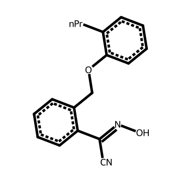 CCCc1ccccc1OCc1ccccc1C(C#N)=NO